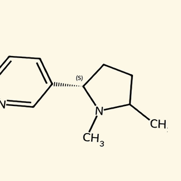 CC1CC[C@@H](c2cccnc2)N1C